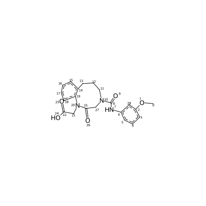 COc1cccc(NC(=O)N2CCCc3ccccc3N(CC(=O)O)C(=O)C2)c1